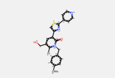 CCc1c(CO)cc(-c2csc(-c3ccncc3)n2)c(=O)n1Cc1ccc(OC)cc1